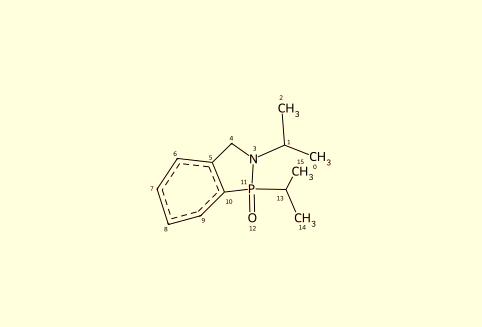 CC(C)N1Cc2ccccc2P1(=O)C(C)C